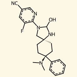 CN(C)[C@]1(c2ccccc2)CC[C@]2(CC1)CN(c1ncc(C#N)cc1F)C(O)N2